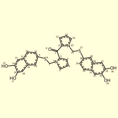 O=C(c1cccn1CSc1ccc2cc(O)c(O)cc2c1)c1cccn1CSc1ccc2cc(O)c(O)cc2c1